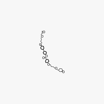 O=C(Oc1ccc(-c2ccc(OCCCCOCC3CO3)cc2)cc1)c1ccc(OCCCCOCC2CCC3OC3C2)cc1